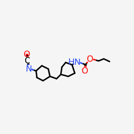 CCCOC(=O)NC1CCC(CC2CCC(N=C=O)CC2)CC1